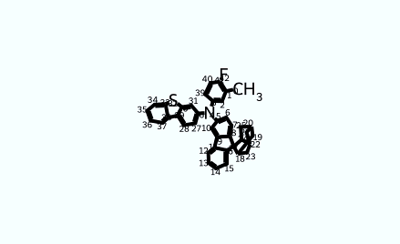 Cc1cc(N(c2ccc3c(c2)-c2ccccc2C32C3CC4CC(C3)C2C4)c2ccc3c(c2)sc2ccccc23)ccc1F